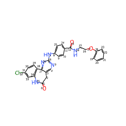 O=C1Cc2cnc(Nc3ccc(C(=O)NCCOc4ccccc4)cc3)nc2-c2ccc(Cl)cc2N1